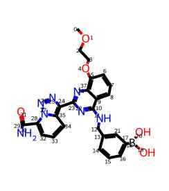 COCCOc1cccc2c(NCc3cccc(B(O)O)c3)nc(-c3nnn4c(C(N)=O)cccc34)nc12